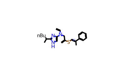 C=CN(CC(=C)S/C=C(\C)c1ccccc1)c1c[nH]c(C(C)CCCC)n1